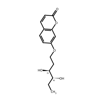 CC[C@@H](O)[C@@H](O)CCOc1ccc2ccc(=O)oc2c1